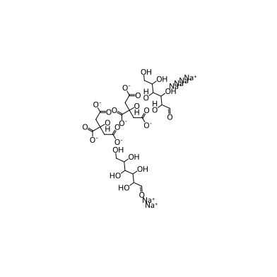 O=C([O-])CC(O)(CC(=O)[O-])C(=O)[O-].O=C([O-])CC(O)(CC(=O)[O-])C(=O)[O-].O=CC(O)C(O)C(O)C(O)CO.O=CC(O)C(O)C(O)C(O)CO.[Na+].[Na+].[Na+].[Na+].[Na+].[Na+]